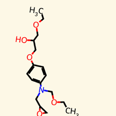 CCOCC(O)COc1ccc(N(COCC)CC2CO2)cc1